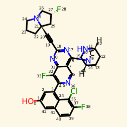 Oc1cc(-c2ncc3c(N4C[C@H]5CC[C@@H]4CN5)nc(C#C[C@@]45CCCN4C[C@H](F)C5)nc3c2F)c2c(Cl)c(F)ccc2c1